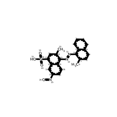 Cc1ccc2ccccc2c1/N=N/c1c(C)cc(S(=O)(=O)O)c2cc(N=O)ccc12